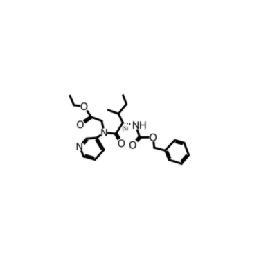 CCOC(=O)CN(C(=O)[C@@H](NC(=O)OCc1ccccc1)C(C)CC)c1cccnc1